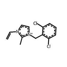 C=Cn1cc[n+](Cc2c(Cl)cccc2Cl)c1C